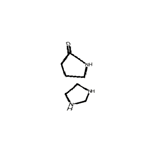 C1CNCN1.O=C1CCCN1